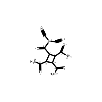 N#CN(C#N)C(=O)C1C(C(N)=O)C(C(N)=O)C1C(N)=O